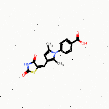 Cc1cc(C=C2SC(=O)NC2=O)c(C)n1-c1ccc(C(=O)O)cc1